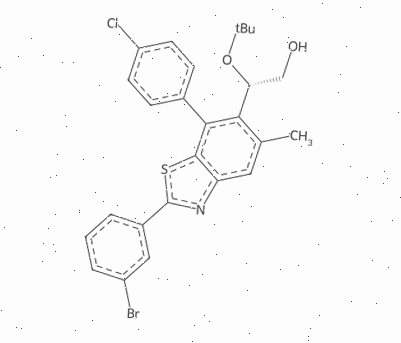 Cc1cc2nc(-c3cccc(Br)c3)sc2c(-c2ccc(Cl)cc2)c1[C@@H](CO)OC(C)(C)C